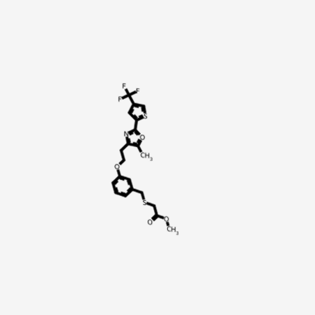 COC(=O)CSCc1cccc(OCCc2nc(-c3cc(C(F)(F)F)cs3)oc2C)c1